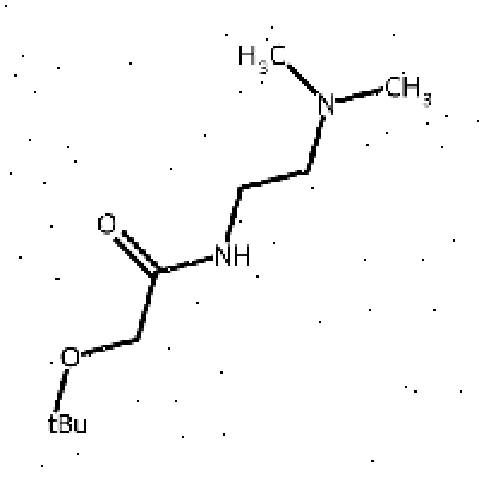 CN(C)CCNC(=O)COC(C)(C)C